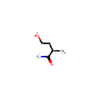 C[C@H](CCO)C(N)=O